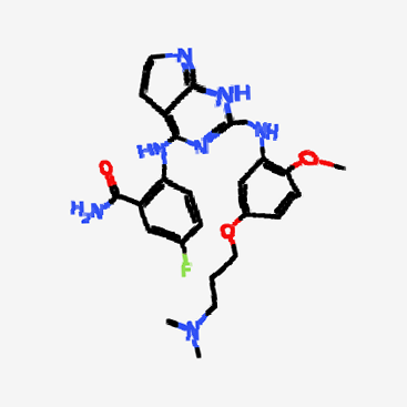 COc1ccc(OCCCN(C)C)cc1Nc1nc(Nc2ccc(F)cc2C(N)=O)c2ccnc-2[nH]1